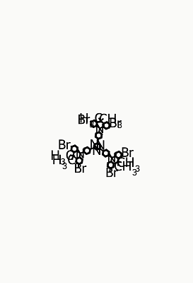 CC1(C)c2cc(Br)ccc2N(c2ccc(-c3nc(-c4ccc(N5c6ccc(Br)cc6C(C)(C)c6cc(Br)ccc65)cc4)nc(-c4ccc(N5c6ccc(Br)cc6C(C)(C)c6cc(Br)ccc65)cc4)n3)cc2)c2ccc(Br)cc21